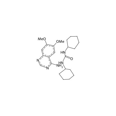 COc1cc2ncnc(N)c2cc1OC.O=C(NC1CCCCC1)NC1CCCCC1